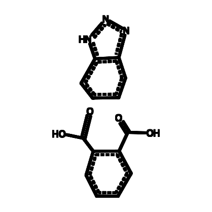 O=C(O)c1ccccc1C(=O)O.c1ccc2[nH]nnc2c1